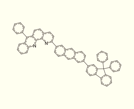 c1ccc(-c2c3ccccc3nc3c2ccc2ccc(-c4ccc5cc6cc(-c7ccc8c(c7)C(c7ccccc7)(c7ccccc7)c7ccccc7-8)ccc6cc5c4)nc23)cc1